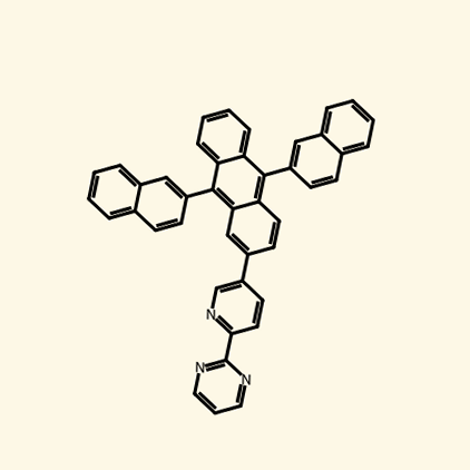 c1cnc(-c2ccc(-c3ccc4c(-c5ccc6ccccc6c5)c5ccccc5c(-c5ccc6ccccc6c5)c4c3)cn2)nc1